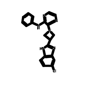 Clc1ccc2[nH]c(C3CN(c4nccnc4Nc4ccccc4)C3)nc2c1